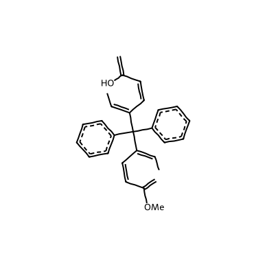 C=C(O)/C=C\C(=C/C)C(C(/C=C\C(=C)OC)=C/C)(c1ccccc1)c1ccccc1